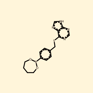 c1nc(SCc2ccc(B3OCCCCO3)cc2)c2nc[nH]c2n1